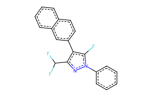 Fc1c(-c2ccc3ccccc3c2)c(C(F)F)nn1-c1ccccc1